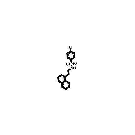 O=S(=O)(NCCc1cccc2ccccc12)c1ccc(Cl)cc1